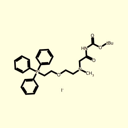 CN(CCOCC[P+](c1ccccc1)(c1ccccc1)c1ccccc1)CC(=O)NC(=O)OC(C)(C)C.[I-]